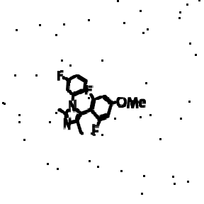 COc1cc(F)c(-c2c(C)nc(C)n2-c2cccc(F)c2)c(F)c1